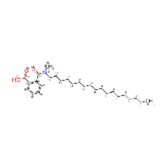 CCCCCCCCCCCCCCCCCCN(C)C(=O)c1ccccc1C(=O)O